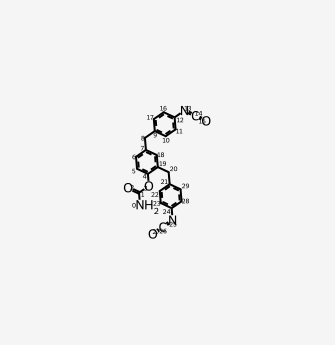 NC(=O)Oc1ccc(Cc2ccc(N=C=O)cc2)cc1Cc1ccc(N=C=O)cc1